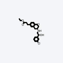 CCOC(=O)CCc1ccc2c(c1)C[C@H](NC[C@@H](O)c1cccc(Cl)c1)CC2.Cl